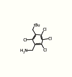 CC(C)(C)Cc1c(Cl)c(Cl)c(Cl)c(CN)c1Cl